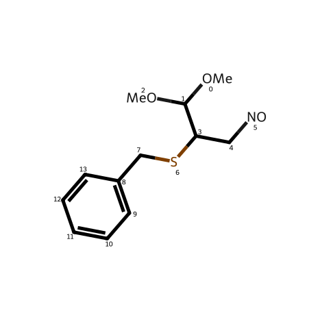 COC(OC)C(CN=O)SCc1ccccc1